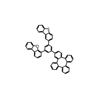 c1ccc2c(c1)-c1ccccc1-c1ccc(-c3cc(-c4ccc5sc6ccccc6c5c4)cc(-c4cccc5c4oc4ccccc45)c3)cc1-c1ccccc1-2